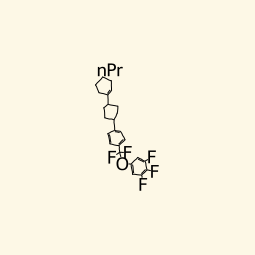 CCCC1CC=C(C2CCC(c3ccc(C(F)(F)Oc4cc(F)c(F)c(F)c4)cc3)CC2)CC1